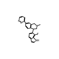 CN1Cc2cc(-c3cccnn3)ccc2C(c2ccc3cc[nH]c3c2F)C1